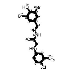 O=C(CNc1ccc(Cl)c(C(F)(F)F)c1)NN=Cc1cc(Br)c(O)c(Br)c1